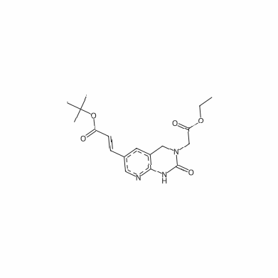 CCOC(=O)CN1Cc2cc(C=CC(=O)OC(C)(C)C)cnc2NC1=O